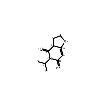 CC(C)N1C(=O)C2CCSC2=CC1=S